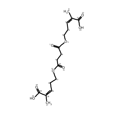 CC(=CCCOC(=O)CCC(=O)OCCC=C(C)C(=O)O)C(=O)O